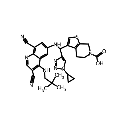 CC(C)(C)CNc1c(C#N)cnc2c(C#N)cc(NC(c3cn(C4CC4)nn3)c3csc4c3CCN(C(=O)O)C4)cc12